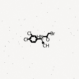 C#C[C@H](NC(=O)CBr)c1ccc(Cl)c(Cl)c1